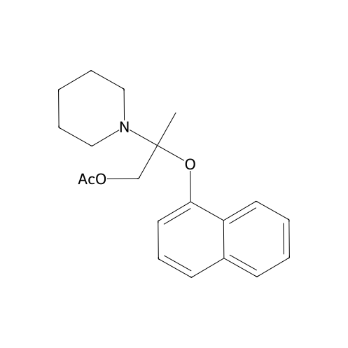 CC(=O)OCC(C)(Oc1cccc2ccccc12)N1CCCCC1